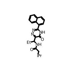 CCC(NC(=O)CC(C)C)c1nnc(-c2cccc3ccccc23)[nH]c1=O